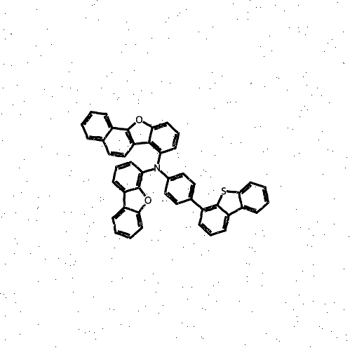 c1ccc2c(c1)ccc1c2oc2cccc(N(c3ccc(-c4cccc5c4sc4ccccc45)cc3)c3cccc4c3oc3ccccc34)c21